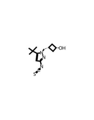 CC(C)(C)c1cc(N=C=S)nn1C[C@H]1C[C@@H](O)C1